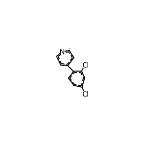 Clc1ccc(-c2c[c]ncc2)c(Cl)c1